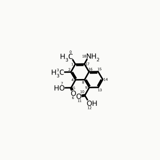 Cc1c(C)c(C(=O)O)c2c(C(=O)O)cccc2c1N